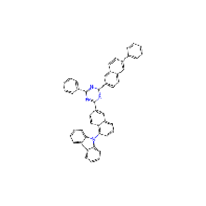 c1ccc(-c2ccc3cc(-c4nc(-c5ccccc5)nc(-c5ccc6c(-n7c8ccccc8c8ccccc87)cccc6c5)n4)ccc3c2)cc1